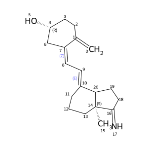 C=C1CC[C@@H](O)C/C1=C/C=C1\CCC[C@]2(C)C(=N)CCC12